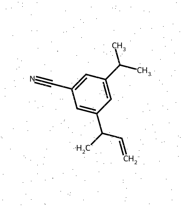 [CH2]C(C=C)c1cc(C#N)cc(C(C)C)c1